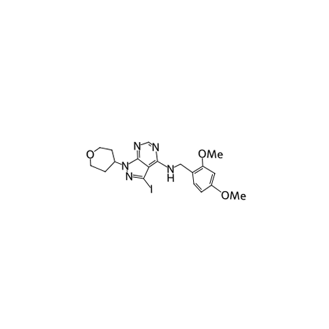 COc1ccc(CNc2ncnc3c2c(I)nn3C2CCOCC2)c(OC)c1